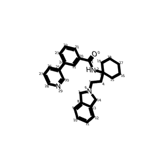 O=C(NC1(CCN2Cc3ccccc3C2)CCCCC1)c1cccc(-c2cccnc2)c1